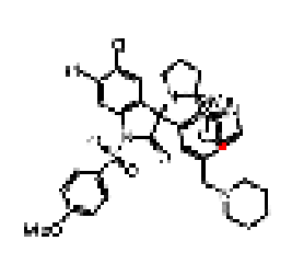 COc1ccc(S(=O)(=O)N2C(=O)C(c3cc(CN4CCCCC4)ccc3OC)(N3CCCC3c3ncco3)c3cc(Cl)c(Cl)cc32)cc1